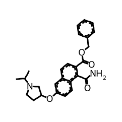 CC(C)N1CCC(Oc2ccc3c(C(N)=O)c(C(=O)OCc4ccccc4)ccc3c2)C1